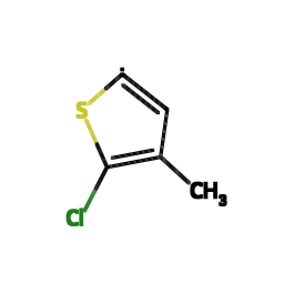 Cc1c[c]sc1Cl